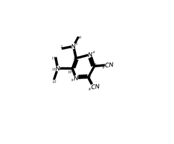 CN(C)c1nc(C#N)c(C#N)nc1N(C)C